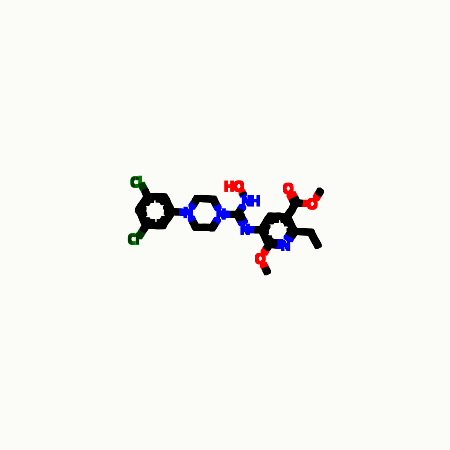 CCc1nc(OC)c(N=C(NO)N2CCN(c3cc(Cl)cc(Cl)c3)CC2)cc1C(=O)OC